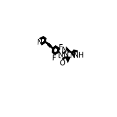 CN(c1c(F)cc(C#Cc2cccnc2)cc1F)c1ncc(-c2cc[nH]n2)n1C1(C=O)CC1